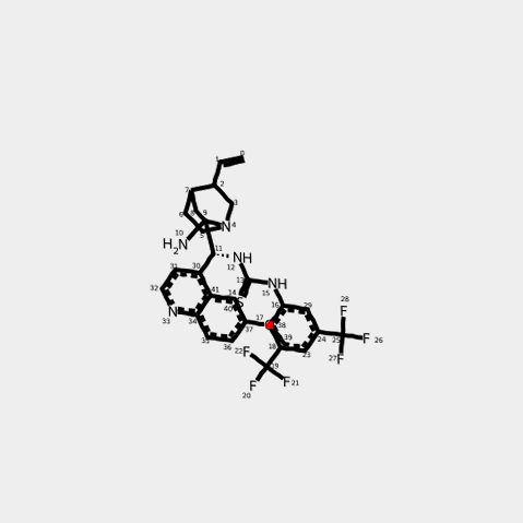 C=CC1CN2CCC1CC2(N)[C@H](NC(=S)Nc1cc(C(F)(F)F)cc(C(F)(F)F)c1)c1ccnc2ccc(OC)cc12